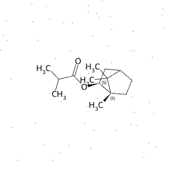 CC(C)C(=O)O[C@H]1CC2CC[C@@]1(C)C2(C)C